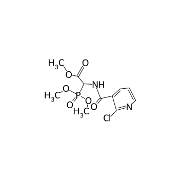 COC(=O)C(NC(=O)c1cccnc1Cl)P(=O)(OC)OC